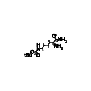 CC(C)(C)OC(=O)NCCCCC(N)C(N)=O